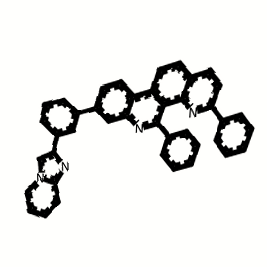 c1ccc(-c2ccc3ccc4c5ccc(-c6cccc(-c7cn8ccccc8n7)c6)cc5nc(-c5ccccc5)c4c3n2)cc1